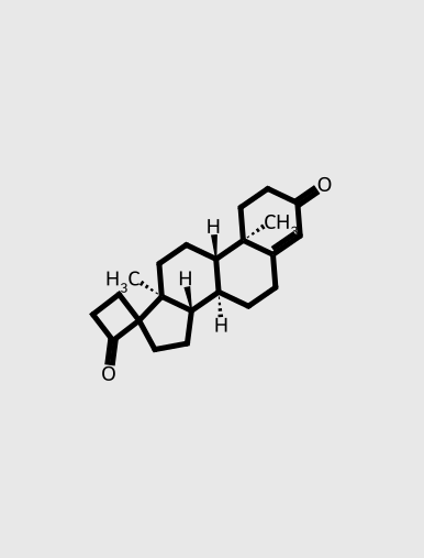 C[C@]12CCC(=O)C=C1CC[C@@H]1[C@@H]2CC[C@@]2(C)[C@H]1CCC21CCC1=O